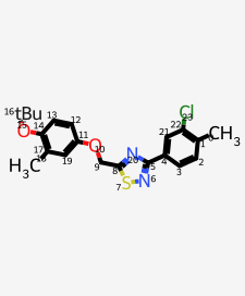 Cc1ccc(-c2nsc(COc3ccc(OC(C)(C)C)c(C)c3)n2)cc1Cl